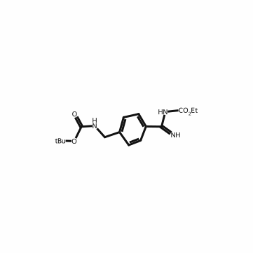 CCOC(=O)NC(=N)c1ccc(CNC(=O)OC(C)(C)C)cc1